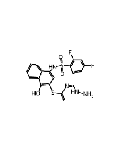 C=C(/N=C\NN)Sc1cc(NS(=O)(=O)c2ccc(F)cc2F)c2ccccc2c1O